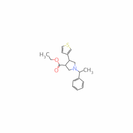 CCOC(=O)C1CN(C(C)c2ccccc2)CC1c1ccsc1